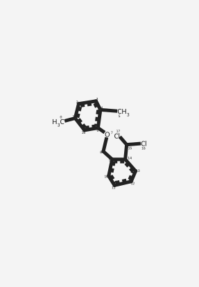 Cc1ccc(C)c(OCc2ccccc2C(Cl)Cl)c1